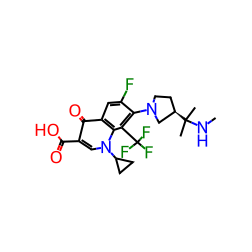 CNC(C)(C)[C@@H]1CCN(c2c(F)cc3c(=O)c(C(=O)O)cn(C4CC4)c3c2C(F)(F)F)C1